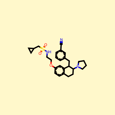 N#Cc1cccc(CC2c3cc(OCCNS(=O)(=O)CC4CC4)ccc3CCC2N2CCCC2)c1